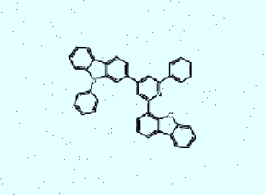 c1ccc(-c2cc(-c3ccc4c5ccccc5n(-c5ccccc5)c4c3)cc(-c3cccc4c3oc3ccccc34)n2)cc1